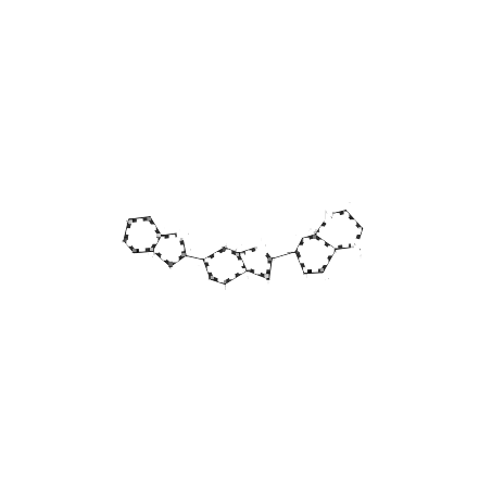 c1ccc2sc(-c3ccc4cc(-c5ccc6nccnc6c5)oc4c3)cc2c1